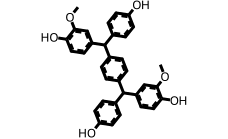 COc1cc(C(c2ccc(O)cc2)c2ccc(C(c3ccc(O)cc3)c3ccc(O)c(OC)c3)cc2)ccc1O